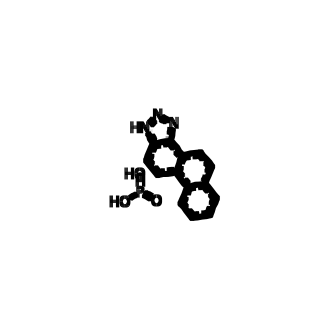 O=[PH](O)O.c1ccc2c(c1)ccc1c2ccc2[nH]nnc21